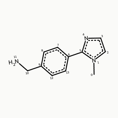 Cn1ccnc1-c1ccc(CN)cc1